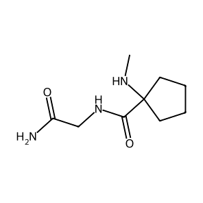 CNC1(C(=O)NCC(N)=O)CCCC1